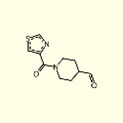 O=CC1CCN(C(=O)c2cscn2)CC1